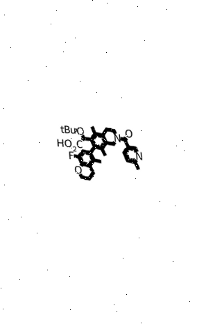 Cc1ccc(C(=O)N2CCc3c(C)c(C(OC(C)(C)C)C(=O)O)c(-c4cc(F)c5c(c4C)CCCO5)c(C)c3C2)cn1